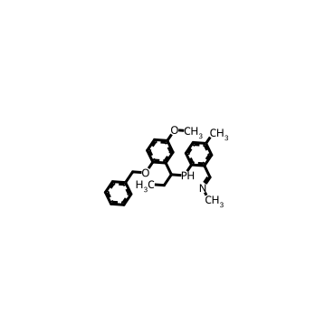 CCC(Pc1ccc(C)cc1/C=N/C)c1cc(OC)ccc1OCc1ccccc1